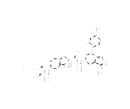 CS(=O)(=O)Nc1ccc2cc(C(=O)Nc3cc(-c4ccc(F)cc4F)c4cn[nH]c4c3)[nH]c2c1